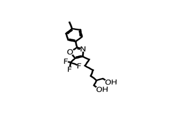 Cc1ccc(-c2nc(CCCCC(CO)CO)c(C(F)(F)F)o2)cc1